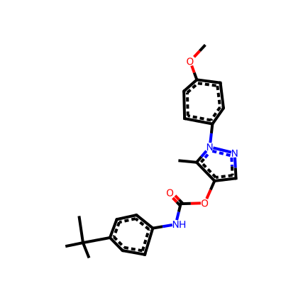 COc1ccc(-n2ncc(OC(=O)Nc3ccc(C(C)(C)C)cc3)c2C)cc1